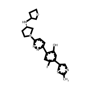 Cc1ncc(-c2cc(O)c(-c3ccc(N4CC[C@H](NC5CCOC5)C4)nn3)cc2F)s1